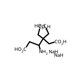 NC(CC(=O)O)C(CC(=O)O)(CC(=O)O)CC(=O)O.[NaH].[NaH]